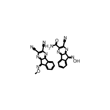 CO/N=C1\c2ccccc2-c2nc(C#N)c(C#N)nc21.N#Cc1nc2c(nc1C(N)=O)-c1ccccc1/C2=N\O